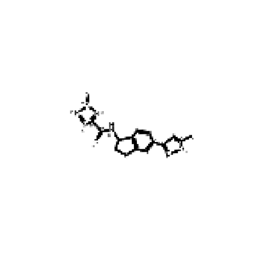 Cc1cc(-c2ccc3c(c2)CCC3NC(=O)c2nnn(C)n2)no1